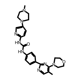 Cc1cnc(-c2ccc(NC(=O)Nc3ccc(N4CCN(C)CC4)cn3)cc2)nc1N1CCOCC1